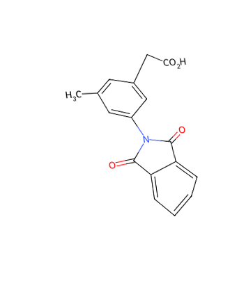 Cc1cc(CC(=O)O)cc(N2C(=O)c3ccccc3C2=O)c1